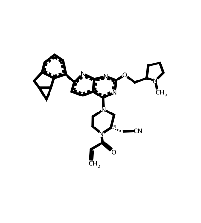 C=CC(=O)N1CCN(c2nc(OCC3CCCN3C)nc3nc(-c4cccc5c4C4CC4C5)ccc23)C[C@@H]1CC#N